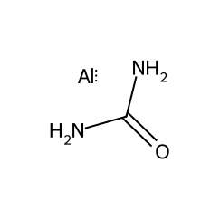 NC(N)=O.[Al]